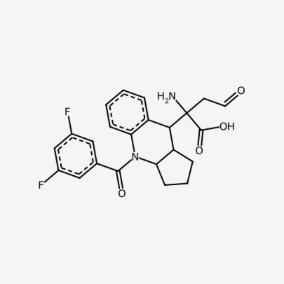 NC(CC=O)(C(=O)O)C1c2ccccc2N(C(=O)c2cc(F)cc(F)c2)C2CCCC21